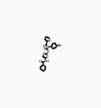 O=C(Nc1cnc(Sc2nnc(-c3cccs3)n2-c2ccc(Br)cc2)s1)c1ccccc1